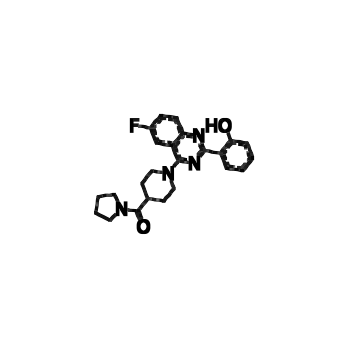 O=C(C1CCN(c2nc(-c3ccccc3O)nc3ccc(F)cc23)CC1)N1CCCC1